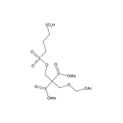 COC(=O)C(COCOC(C)=O)(COS(=O)(=O)CCCS(=O)(=O)O)C(=O)OC